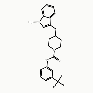 Cn1cc(CC2CCN(C(=O)Nc3cccc(C(F)(F)F)c3)CC2)c2ccccc21